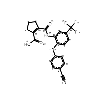 N#Cc1ccc(Nc2ccc(C(F)(F)F)cc2NC(=O)C2=C(C(=O)O)CCC2)cc1